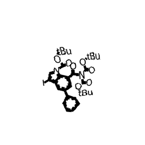 CC(C)(C)OC(=O)N(C(=O)OC(C)(C)C)C(=O)c1cc(-c2ccccc2)cc2c(I)cn(C(=O)OC(C)(C)C)c12